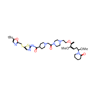 C=C(OCCN1CCN(C(=O)CN2CCC(C(=O)Nc3ncc(SCc4ncc(C(C)(C)C)o4)s3)CC2)CC1)/C(=C\CC(OC)N1CCCCC1=O)OC